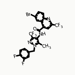 Cc1c(NC(=O)c2cc(C(F)(F)F)nc3ccc(Br)cc23)c(C(F)(F)F)nn1Cc1ccc(F)c(F)c1